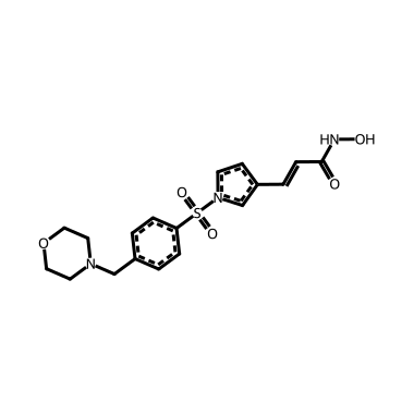 O=C(/C=C/c1ccn(S(=O)(=O)c2ccc(CN3CCOCC3)cc2)c1)NO